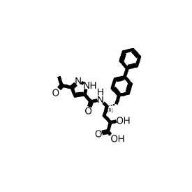 CC(=O)c1cc(C(=O)N[C@H](Cc2ccc(-c3ccccc3)cc2)CC(O)C(=O)O)[nH]n1